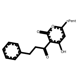 CCCCCc1cc(O)c(C(=O)CCc2ccccc2)c(=O)o1